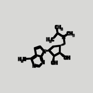 CC(C)N(C)C[C@H]1C[C@@H](n2ccc3c(N)ncnc32)[C@H](O)[C@@H]1O